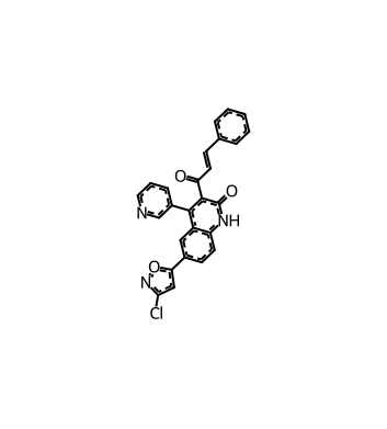 O=C(/C=C/c1ccccc1)c1c(-c2cccnc2)c2cc(-c3cc(Cl)no3)ccc2[nH]c1=O